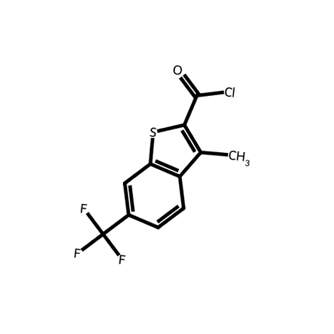 Cc1c(C(=O)Cl)sc2cc(C(F)(F)F)ccc12